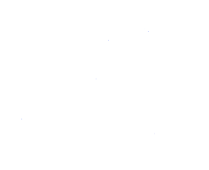 C[C@H](N)Cc1cc2ncnc(NCc3ccncc3)c2s1